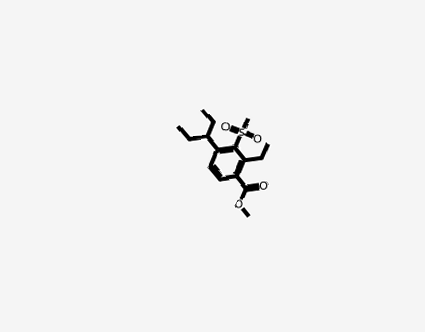 CCc1c(C(=O)OC)ccc(C(CC)CC)c1S(C)(=O)=O